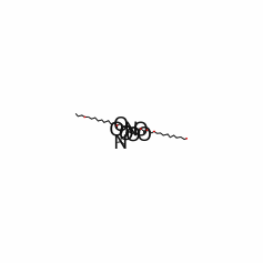 CCCCCCCCCCCCCC(=O)OCCN(CCOC(=O)CCCCCCCCCCCCC)C(=O)OCCN(C)C